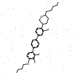 CCCCCC1CCC(c2ccc(-c3ccc(-c4ccc(OCCCC)c(F)c4F)cc3)cc2F)CO1